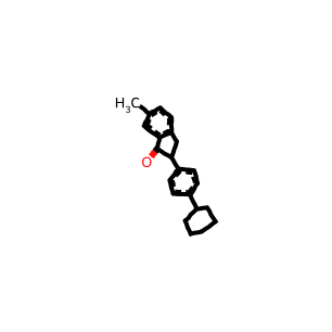 Cc1ccc2c(c1)C(=O)C(c1ccc(C3CCCCC3)cc1)C2